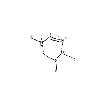 CN/C=N\C(C)C(C)C